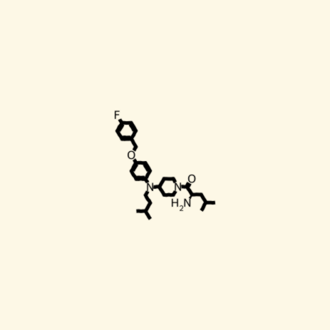 CC(C)CCN(c1ccc(OCc2ccc(F)cc2)cc1)C1CCN(C(=O)[C@H](N)CC(C)C)CC1